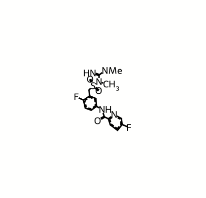 CNC(=N)N(C)S(=O)(=O)Cc1cc(NC(=O)c2ccc(F)cn2)ccc1F